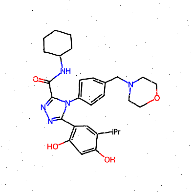 CC(C)c1cc(-c2nnc(C(=O)NC3CCCCC3)n2-c2ccc(CN3CCOCC3)cc2)c(O)cc1O